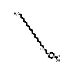 CCCCCCCCC=CCCCCCCCCNCCN1CCN(C(=O)O)CC1